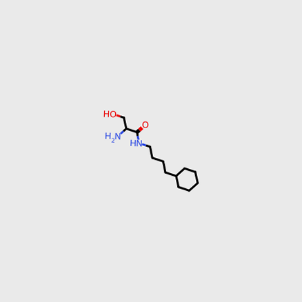 NC(CO)C(=O)NCCCCC1CCCCC1